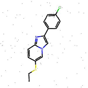 CCSc1ccc2nc(-c3ccc(Cl)cc3)cn2c1